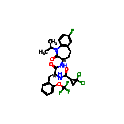 CC(C)N1C(=O)[C@H](NC(=O)[C@@H](Cc2ccccc2OC(F)(F)F)NC(=O)C2CC2(Cl)Cl)CCc2cc(F)ccc21